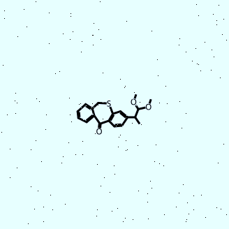 COC(OC)C(C)c1ccc2c(c1)SCc1ccccc1C2=O